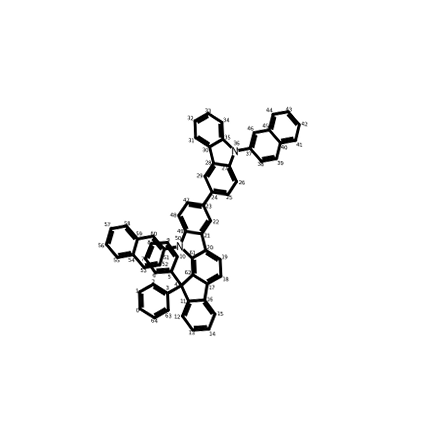 c1ccc(C2(c3ccccc3)c3ccccc3-c3ccc4c5cc(-c6ccc7c(c6)c6ccccc6n7-c6ccc7ccccc7c6)ccc5n(-c5ccc6ccccc6c5)c4c32)cc1